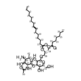 CCCCCCC/C=C/CCCCCC(=O)O[C@H](COC(=O)CCCCCC)CO[C@H]1O[C@H](CO)[C@@H](O)[C@H](O[C@@H]2O[C@H](C)[C@H](N)[C@H](O)[C@H]2NC(C)=O)[C@H]1O